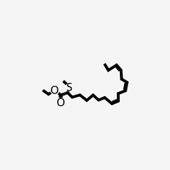 CC/C=C\C/C=C\C/C=C\CCCCCCC(SC)C(=O)OCC